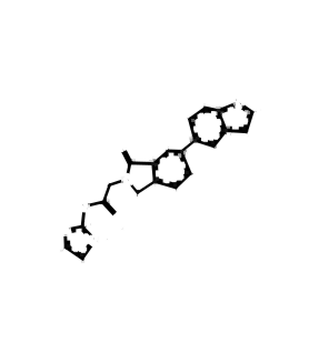 O=C(CN1Cc2ccc(-c3ccc4[nH]ccc4c3)cc2C1=O)Nc1ncco1